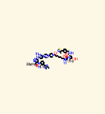 CNC(=O)c1nnc(Nc2ccc(N3CCN(C4CCN(C(=O)CCCCCC(=O)N[C@H](C(=O)N5C[C@H](O)C[C@H]5C(=O)N[C@@H](C)c5ccc(-c6scnc6C)cc5)C(C)(C)C)CC4)CC3)cn2)cc1Nc1cccc(-c2ncn(C)n2)c1OC